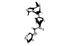 Cc1ncc2n1[C@H](c1ccc(NC(=O)N[C@H]3CCOC3)cc1)COC2